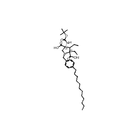 CCCCCCCCCCCCc1ccc(CN2C[C@@](NC(=O)OC(C)(C)C)(C(=O)O)C(CC)[C@]2(CC)C(=O)O)cc1